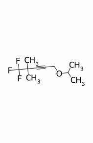 CC(C)OCC#CC(C)(C)C(F)(F)F